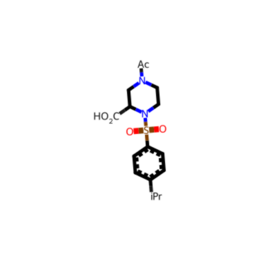 CC(=O)N1CCN(S(=O)(=O)c2ccc(C(C)C)cc2)C(C(=O)O)C1